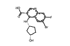 O=C(O)c1cnc2cc(F)c(Br)cc2c1N[C@@H]1CC[C@H](O)C1